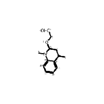 CC1CC(OC[C]=O)N(C)c2ccccc21